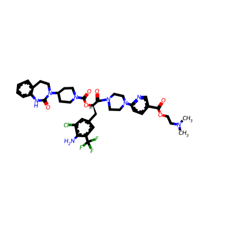 CN(C)CCOC(=O)c1ccc(N2CCN(C(=O)[C@@H](Cc3cc(Cl)c(N)c(C(F)(F)F)c3)OC(=O)N3CCC(N4CCc5ccccc5NC4=O)CC3)CC2)nc1